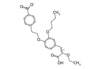 CCCCOc1cc(/C=C(/OCC)C(=O)O)ccc1OCCc1ccc([N+](=O)[O-])cc1